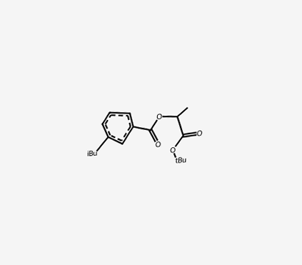 CCC(C)c1cccc(C(=O)OC(C)C(=O)OC(C)(C)C)c1